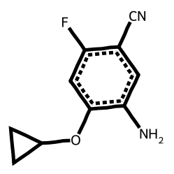 N#Cc1cc(N)c(OC2CC2)cc1F